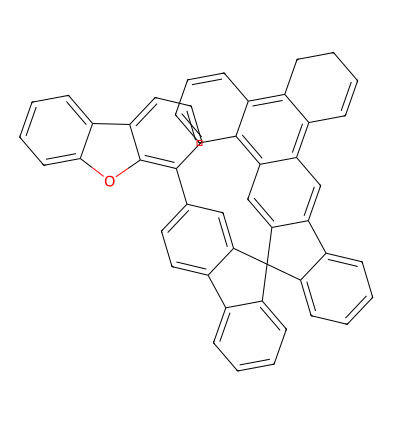 C1=Cc2c(c3ccccc3c3cc4c(cc23)-c2ccccc2C42c3ccccc3-c3ccc(-c4cccc5c4oc4ccccc45)cc32)CC1